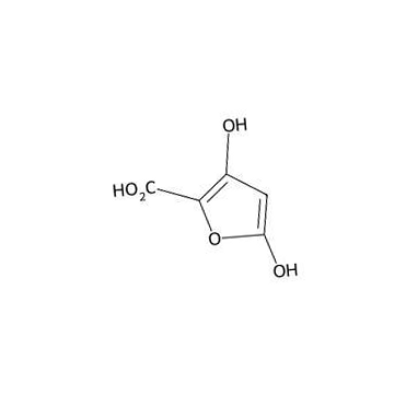 O=C(O)c1oc(O)cc1O